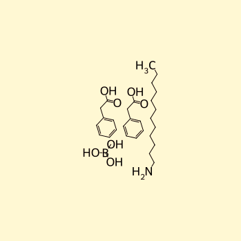 CCCCCCCCCCCCN.O=C(O)Cc1ccccc1.O=C(O)Cc1ccccc1.OB(O)O